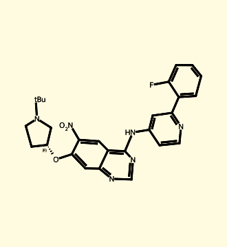 CC(C)(C)N1CC[C@@H](Oc2cc3ncnc(Nc4ccnc(-c5ccccc5F)c4)c3cc2[N+](=O)[O-])C1